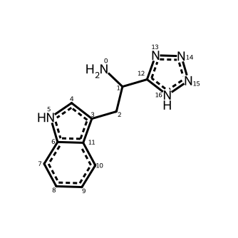 NC(Cc1c[nH]c2ccccc12)c1nnn[nH]1